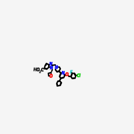 O=C(O)c1ccc2nc(CN3CC=C(c4cc(-c5ccccc5)cc(OCc5ccc(Cl)cc5F)n4)CC3)n(C[C@@H]3CCO3)c2c1